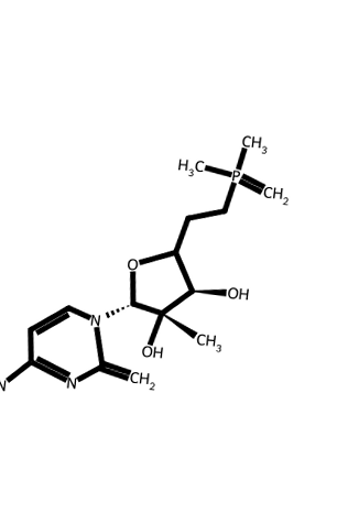 C=C1N=C(N)C=CN1[C@@H]1OC(CCP(=C)(C)C)[C@@H](O)[C@]1(C)O